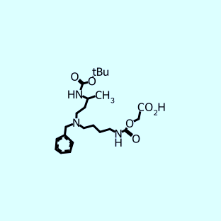 CC(CCN(CCCCNC(=O)OCC(=O)O)Cc1ccccc1)NC(=O)OC(C)(C)C